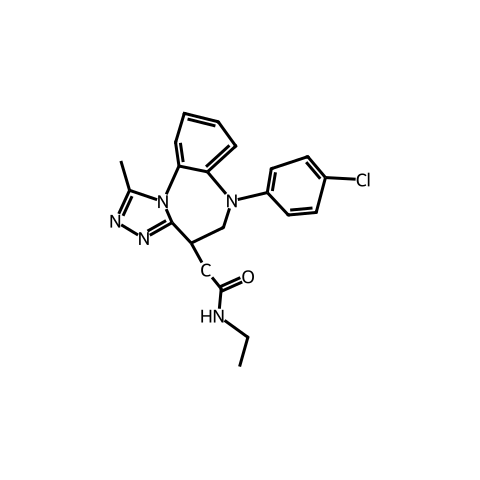 CCNC(=O)CC1CN(c2ccc(Cl)cc2)c2ccccc2-n2c(C)nnc21